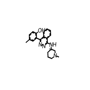 Cc1ccc(O)c(-c2nnc(N[C@@H]3CCCN(C)C3)c3ccccc23)c1